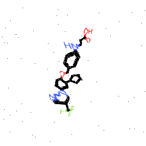 O=C(O)CCNc1ccc(COc2ccc(-n3cc(C(F)(F)F)cn3)cc2C2CCCC2)cc1